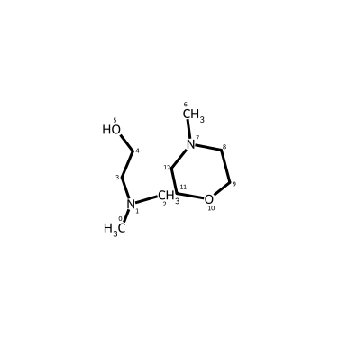 CN(C)CCO.CN1CCOCC1